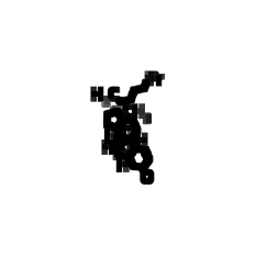 CC(C)CCCC(C)[C@H]1CC[C@H]2[C@@H]3CC[C@H]4CC(=O)C=C[C@]4(C)[C@H]3CC[C@]12C